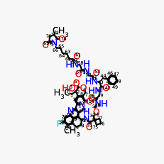 CC[C@@]1(O)C(=O)OCc2c1cc1n(c2=O)Cc2c-1nc1cc(F)c(C)c3c1c2[C@@H](NC(=O)C1(COCNC(=O)CNC(=O)[C@H](Cc2ccccc2)NC(=O)CNC(=O)CNC(=O)CCCCCN2C(=O)CC(C)C2=O)CCC1)CC3